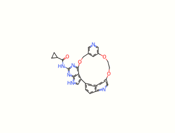 O=C(Nc1nc2c3c(c[nH]c3n1)-c1ccc3ncc(cc3c1)OCCOc1cncc(c1)CO2)C1CC1